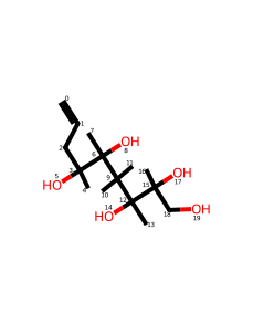 C=CCC(C)(O)C(C)(O)C(C)(C)C(C)(O)C(C)(O)CO